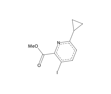 COC(=O)c1nc(C2CC2)ccc1I